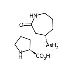 O=C(O)[C@@H]1CCCN1.O=C1C[C@@H]([AsH2])CCCN1